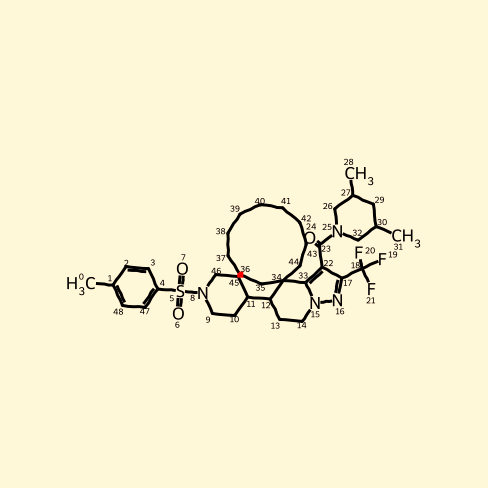 Cc1ccc(S(=O)(=O)N2CCC(C3CCn4nc(C(F)(F)F)c(C(=O)N5CC(C)CC(C)C5)c4C34CCCCCCCCCC4)CC2)cc1